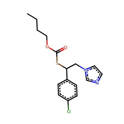 CCCCOC(=O)SC(Cn1ccnc1)c1ccc(Cl)cc1